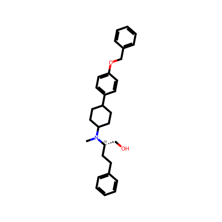 CN(C1CCC(c2ccc(OCc3ccccc3)cc2)CC1)[C@H](CO)CCc1ccccc1